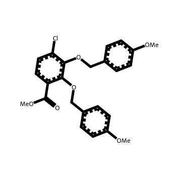 COC(=O)c1ccc(Cl)c(OCc2ccc(OC)cc2)c1OCc1ccc(OC)cc1